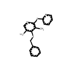 Cc1cnc(Sc2ccccn2)c(C)c1SCc1ccccc1